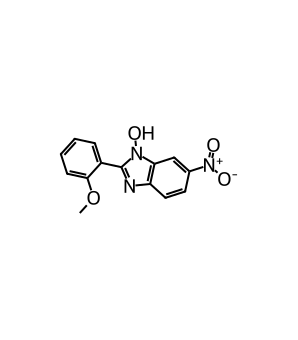 COc1ccccc1-c1nc2ccc([N+](=O)[O-])cc2n1O